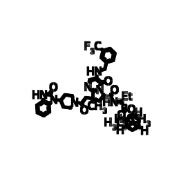 CC[C@H](NC(=O)[C@@H]1C[C@@](C)(CC(=O)N2CCC(n3c(=O)[nH]c4ccccc43)CC2)c2ncc(NCc3cccc(C(F)(F)F)c3)c(=O)n21)B1O[C@@H]2C[C@@H]3C[C@@H](C3(C)C)[C@]2(C)O1